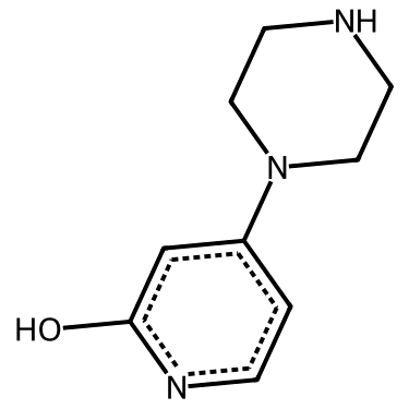 Oc1cc(N2CCNCC2)ccn1